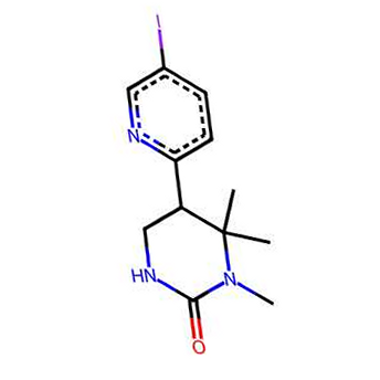 CN1C(=O)NCC(c2ccc(I)cn2)C1(C)C